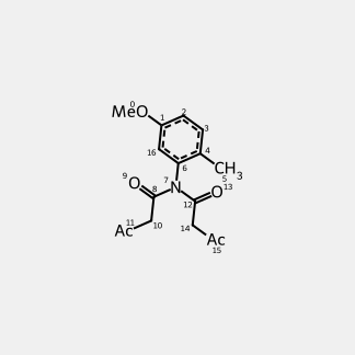 COc1ccc(C)c(N(C(=O)CC(C)=O)C(=O)CC(C)=O)c1